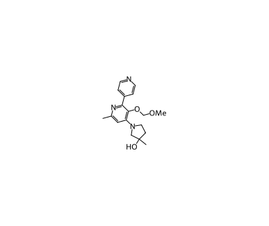 COCOc1c(N2CCC(C)(O)C2)cc(C)nc1-c1ccncc1